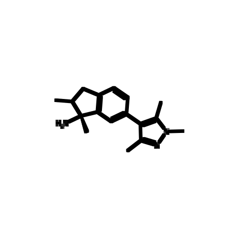 Cc1nn(C)c(C)c1-c1ccc2c(c1)[C@](C)(N)C(C)C2